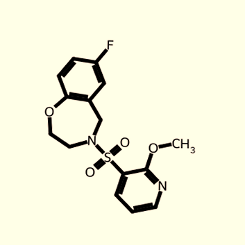 COc1ncccc1S(=O)(=O)N1CCOc2ccc(F)cc2C1